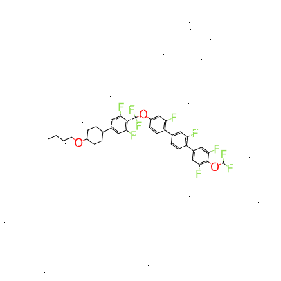 CCCCOC1CCC(c2cc(F)c(C(F)(F)Oc3ccc(-c4ccc(-c5cc(F)c(OC(F)F)c(F)c5)c(F)c4)c(F)c3)c(F)c2)CC1